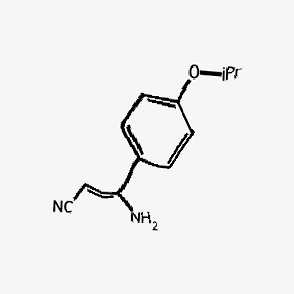 CC(C)Oc1ccc(C(N)=CC#N)cc1